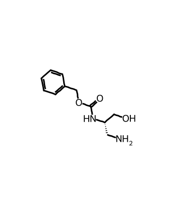 NC[C@@H](CO)NC(=O)OCc1ccccc1